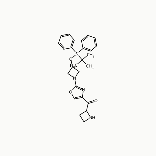 CC(C)(C)[Si](OC1CN(c2nc(C(=O)C3CCN3)co2)C1)(c1ccccc1)c1ccccc1